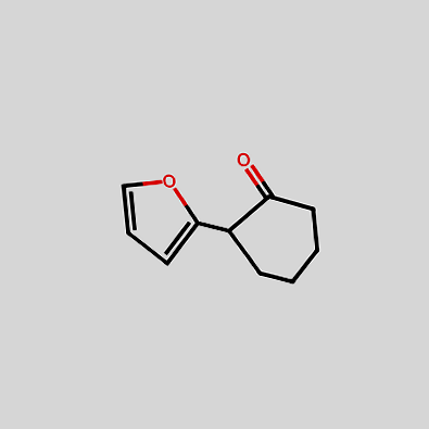 O=C1CCCCC1c1ccco1